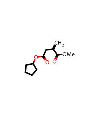 C=C(CC(=O)OC1CCCC1)C(=O)OC